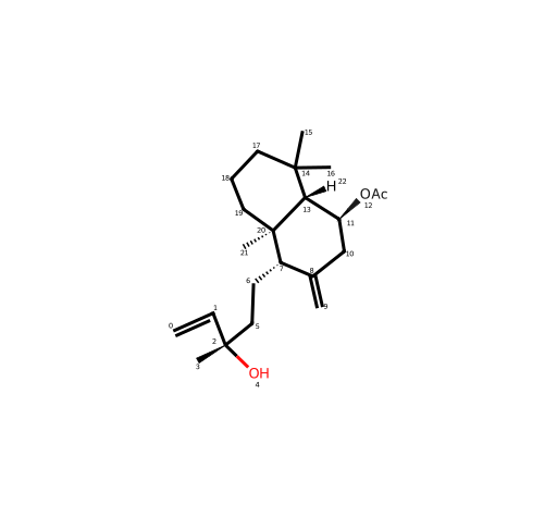 C=C[C@@](C)(O)CC[C@H]1C(=C)C[C@H](OC(C)=O)[C@H]2C(C)(C)CCC[C@]12C